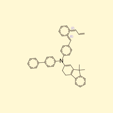 C=C/C=c1/cccc/c1=C\c1ccc(N(C2=CC3=C(CC2)c2ccccc2C3(C)C)c2ccc(-c3ccccc3)cc2)cc1